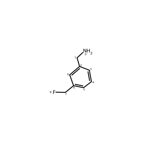 NCc1cccc(CF)c1